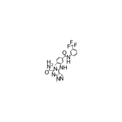 Cc1ccc(C(=O)Nc2cccc(C(F)(F)F)c2)cc1Nc1nc(C(N)=O)nc2c1cnn2C